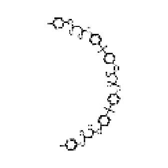 Cc1ccc(OC(=O)CC(=O)Oc2ccc(C(C)(C)c3ccc(OC(=O)CC(=O)Oc4ccc(C(C)(C)c5ccc(OC(=O)CC(=O)Oc6ccc(C)cc6)cc5)cc4)cc3)cc2)cc1